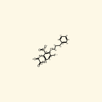 O=C1[N]c2c(cc(F)c(OCCCc3ccccc3)c2[N+](=O)[O-])NC1=O